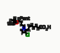 CCCCCC(CCCN1CC[C@@H](Cl)C1C/C=C\CCCC(=O)O)O[Si](C)(C)C(C)(C)C